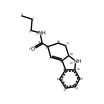 CCCNC(=O)C1C=C2c3ccccc3NC2CC1